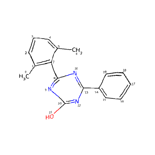 Cc1cccc(C)c1-c1nc(O)nc(-c2ccccc2)n1